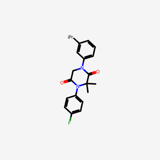 CC(C)c1cccc(N2CC(=O)N(c3ccc(F)cc3)C(C)(C)C2=O)c1